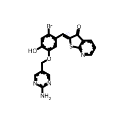 Nc1ncc(COc2cc(/C=C3\Sc4ncccc4C3=O)c(Br)cc2O)cn1